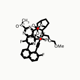 COCOCC1Oc2nc(-c3cccc4ccc(F)c(C#C[Si](C(C)C)(C(C)C)C(C)C)c34)c(F)c3nc([S+](C)[O-])nc(c23)N2CC3CCC(C12)N3C(=O)OC(C)(C)C